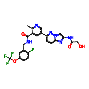 Cc1ncc(-c2ccc3nc(NC(=O)CO)cn3n2)cc1C(=O)NCc1cc(OC(F)(F)F)ccc1F